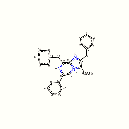 COc1c(Cc2ccccc2)nc2c(Cc3ccccc3)nc(-c3ccccc3)cn12